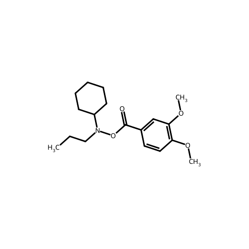 CCCN(OC(=O)c1ccc(OC)c(OC)c1)C1CCCCC1